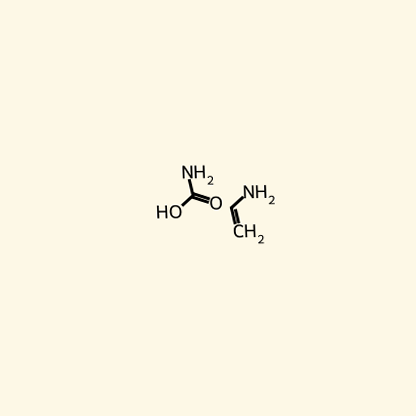 C=CN.NC(=O)O